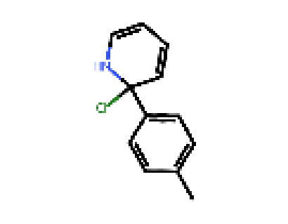 Cc1ccc(C2(Cl)C=CC=CN2)cc1